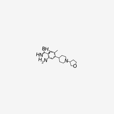 BC(=N)c1cc(C)c(C2CCN(C3CCOC3)CC2)cc1N